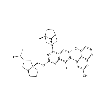 C[C@]12CCC(CN(c3nc(OC[C@@]45CCCN4CC(C(F)F)C5)nc4c(F)c(-c5cc(O)cc6cccc(Cl)c56)c(F)cc34)C1)N2